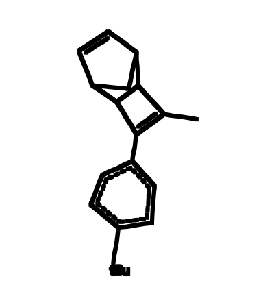 CC1=C(c2ccc(C(C)(C)C)cc2)C2C3C=CC(C3)C12